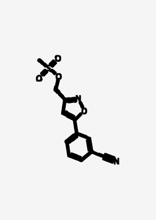 CS(=O)(=O)OCc1cc(-c2cccc(C#N)c2)on1